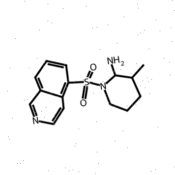 CC1CCCN(S(=O)(=O)c2cccc3cnccc23)C1N